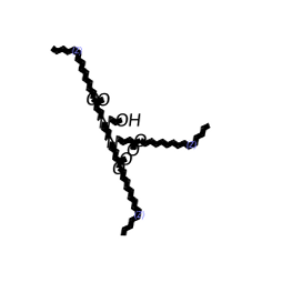 CCCC/C=C\CCCCCCCCOC(=O)CCCN(CCO)CCCN(CCCC(=O)OCCCCCCCC/C=C\CCCC)CCCC(=O)OCCCCCCCC/C=C\CCCC